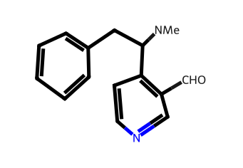 CNC(Cc1ccccc1)c1ccncc1C=O